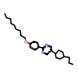 CCCCCCCCCOc1ccc(-c2ncc(C3CCC(CCC)CC3)cn2)cc1